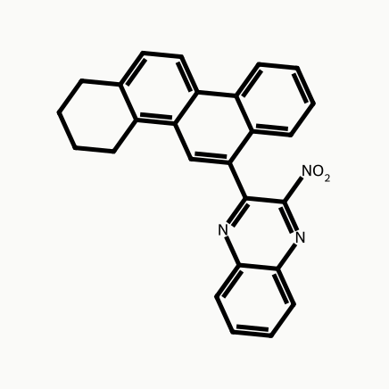 O=[N+]([O-])c1nc2ccccc2nc1-c1cc2c3c(ccc2c2ccccc12)CCCC3